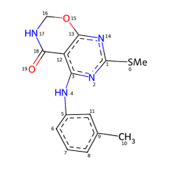 CSc1nc(Nc2cccc(C)c2)c2c(n1)OCNC2=O